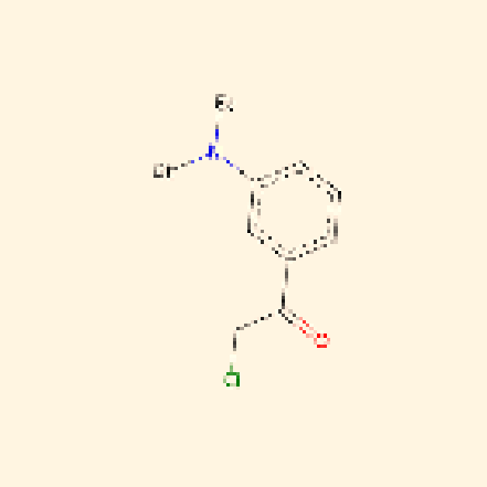 CCN(CC)c1cccc(C(=O)CCl)c1